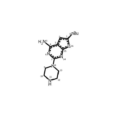 CCCCc1cc2c(N)nc(N3CCNCC3)nc2s1